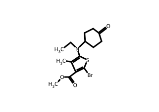 CCN(c1sc(Br)c(C(=O)OC)c1C)C1CCC(=O)CC1